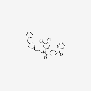 O=C(c1ccccn1)N1CCC(C(=O)N(CCCN2CCC(Cc3ccccc3)CC2)c2ccc(Cl)c(Cl)c2)CC1